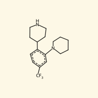 FC(F)(F)c1ccc(C2CCNCC2)c(N2CCCCC2)c1